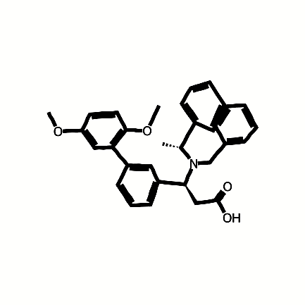 COc1ccc(OC)c(-c2cccc([C@H](CC(=O)O)N(Cc3ccccc3)[C@H](C)c3ccccc3)c2)c1